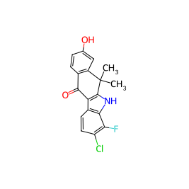 CC1(C)c2cc(O)ccc2C(=O)c2c1[nH]c1c(F)c(Cl)ccc21